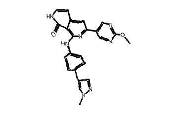 COc1ncc(-c2cc3cc[nH]c(=O)c3c(Nc3ccc(-c4cnn(C)c4)cc3)n2)cn1